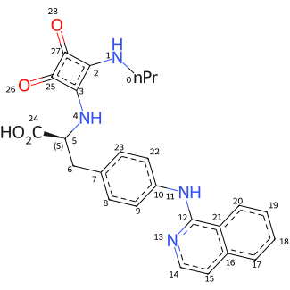 CCCNc1c(N[C@@H](Cc2ccc(Nc3nccc4ccccc34)cc2)C(=O)O)c(=O)c1=O